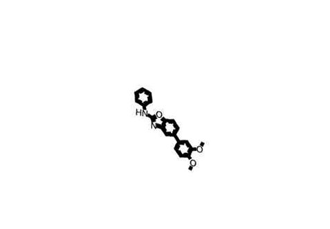 COc1ccc(-c2ccc3oc(Nc4ccccc4)nc3c2)cc1OC